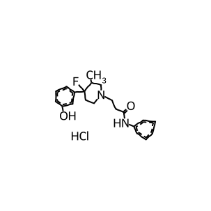 CC1CN(CCC(=O)Nc2ccccc2)CCC1(F)c1cccc(O)c1.Cl